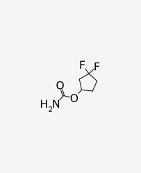 NC(=O)OC1CCC(F)(F)C1